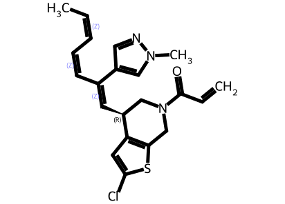 C=CC(=O)N1Cc2sc(Cl)cc2[C@@H](/C=C(/C=C\C=C/C)c2cnn(C)c2)C1